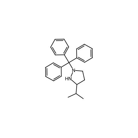 CC(C)C1CCN(C(c2ccccc2)(c2ccccc2)c2ccccc2)N1